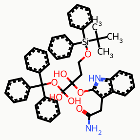 CC(C)(C)[Si](OCCC(O)(Oc1[nH]c2ccccc2c1CC(N)=O)C(O)(O)OC(c1ccccc1)(c1ccccc1)c1ccccc1)(c1ccccc1)c1ccccc1